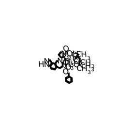 CC(C)(C)CC(C)(C)C(C)(C)C.O=C(OCc1ccccc1)[C@@H]1Cc2ccc3[nH]ncc3c2CN(C2CCN(C(=O)O)C2)C1=O